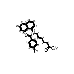 O=C(O)CCCCCN(C(=O)c1ccc(Cl)cc1)c1cccc2ccccc12